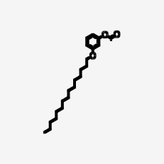 CCCCCCCCCCCCCCCOc1cccc(O[C]=O)c1